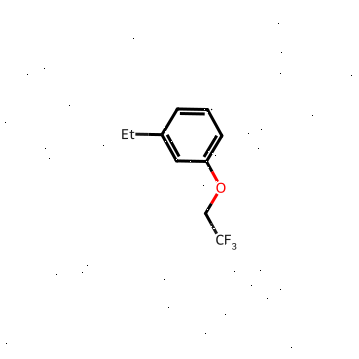 CCc1c[c]cc(OCC(F)(F)F)c1